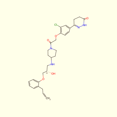 C=CCc1ccccc1OC[C@@H](O)CNC1CCN(C(=O)COc2ccc(C3=NNC(=O)CC3)cc2Cl)CC1